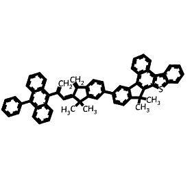 C=C1/C(=C\C(=C)c2c3ccccc3c(-c3ccccc3)c3ccccc23)C(C)(C)c2cc(-c3ccc4c(c3)-c3c(c5sc6ccccc6c5c5ccccc35)C4(C)C)ccc21